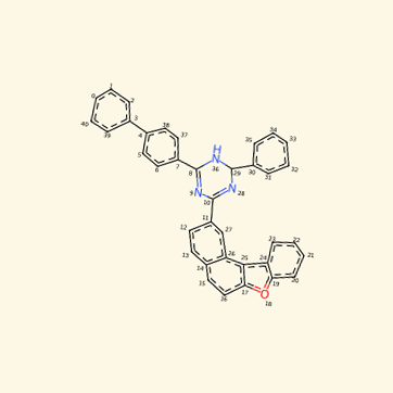 c1ccc(-c2ccc(C3=NC(c4ccc5ccc6oc7ccccc7c6c5c4)=NC(c4ccccc4)N3)cc2)cc1